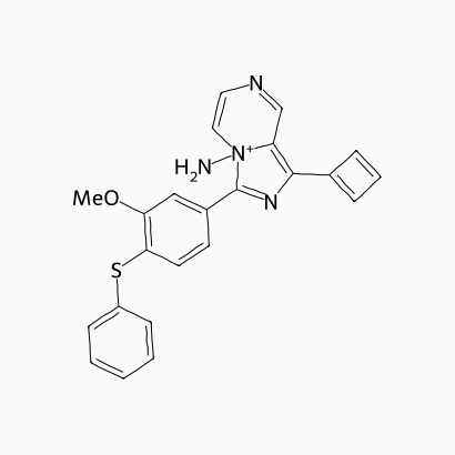 COc1cc(C2=NC(C3=CC=C3)=C3C=NC=C[N+]23N)ccc1Sc1ccccc1